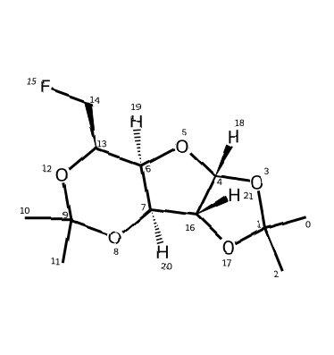 CC1(C)O[C@H]2O[C@H]3[C@H](OC(C)(C)O[C@H]3CF)[C@H]2O1